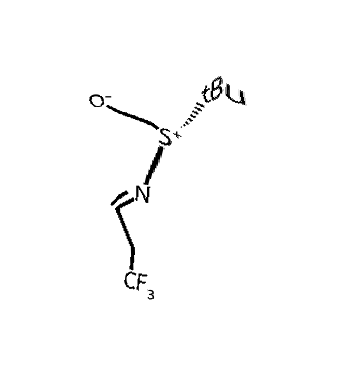 CC(C)(C)[S@@+]([O-])/N=C/C(F)(F)F